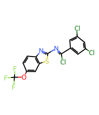 FC(F)(F)Oc1ccc2nc(N=C(Cl)c3cc(Cl)cc(Cl)c3)sc2c1